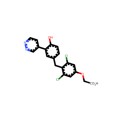 O=C(O)COc1cc(Cl)c(Cc2ccc(O)c(-c3ccnnc3)c2)c(Cl)c1